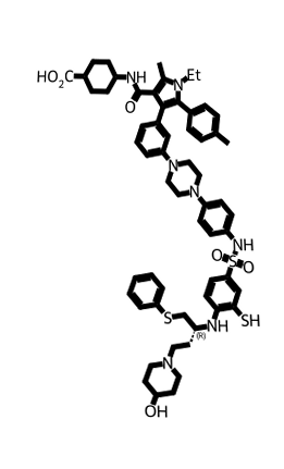 CCn1c(C)c(C(=O)NC2CCC(C(=O)O)CC2)c(-c2cccc(N3CCN(c4ccc(NS(=O)(=O)c5ccc(N[C@H](CCN6CCC(O)CC6)CSc6ccccc6)c(S)c5)cc4)CC3)c2)c1-c1ccc(C)cc1